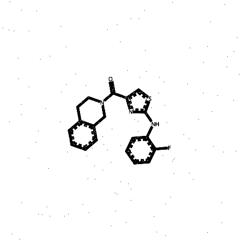 O=C(c1csc(Nc2ccccc2F)n1)N1CCc2ccccc2C1